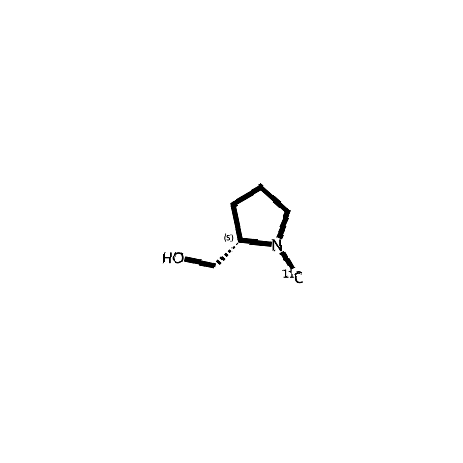 [11CH3]N1CCC[C@H]1CO